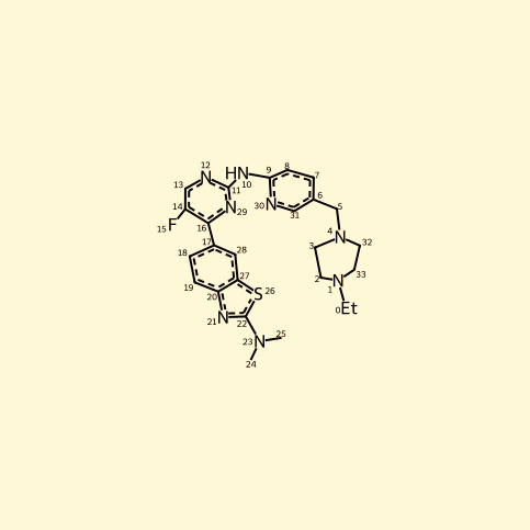 CCN1CCN(Cc2ccc(Nc3ncc(F)c(-c4ccc5nc(N(C)C)sc5c4)n3)nc2)CC1